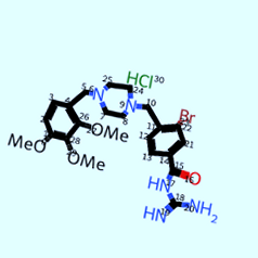 COc1ccc(CN2CCN(Cc3ccc(C(=O)NC(=N)N)cc3Br)CC2)c(OC)c1OC.Cl